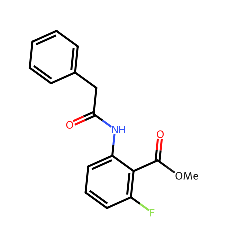 COC(=O)c1c(F)cccc1NC(=O)Cc1ccccc1